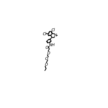 CCCOCCOCCOCCC(=O)Nc1cccc(C2CN(C)Cc3c(Cl)cc(Cl)cc32)c1